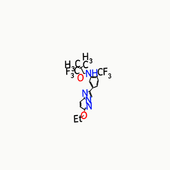 CCOc1ccc2nc(-c3ccc(C(F)(F)F)c(NC(=O)C(C)(C)C(F)(F)F)c3)cn2n1